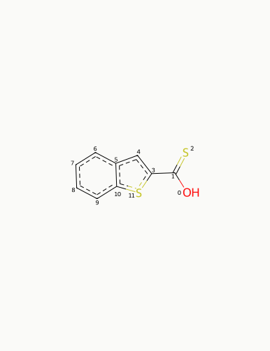 OC(=S)c1cc2ccccc2s1